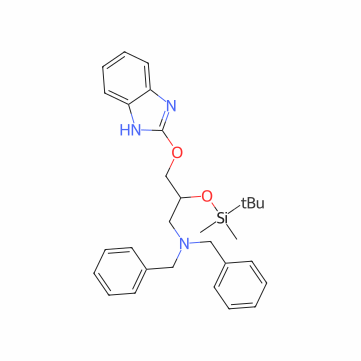 CC(C)(C)[Si](C)(C)OC(COc1nc2ccccc2[nH]1)CN(Cc1ccccc1)Cc1ccccc1